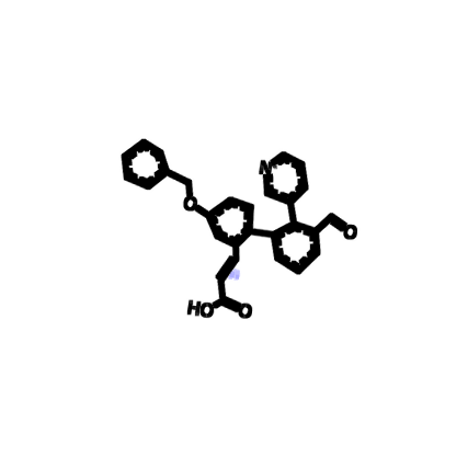 O=Cc1cccc(-c2ccc(OCc3ccccc3)cc2/C=C/C(=O)O)c1-c1cccnc1